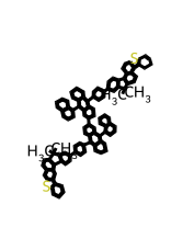 CC1(C)c2cc(-c3ccc(-c4c5ccccc5c(-c5cccc6ccccc56)c5cc(-c6ccc7c(-c8ccc(-c9ccc%10c(c9)C(C)(C)c9ccc%11c(ccc%12sc%13c(c%12%11)CCC=C%13)c9-%10)cc8)c8ccccc8c(-c8cccc9ccccc89)c7c6)ccc45)cc3)ccc2-c2c1ccc1cc3sc4ccccc4c3cc21